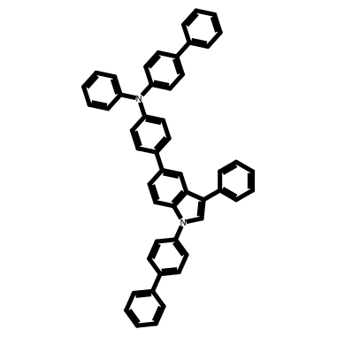 c1ccc(-c2ccc(N(c3ccccc3)c3ccc(-c4ccc5c(c4)c(-c4ccccc4)cn5-c4ccc(-c5ccccc5)cc4)cc3)cc2)cc1